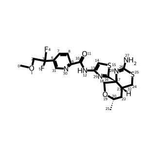 COCC(F)(F)c1ccc(C(=O)Nc2csc([C@]34CO[C@@H](C)C[C@H]3CSC(N)=N4)n2)nc1